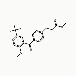 COC(=O)CCc1ccc(C(=O)c2cc(C(C)(C)C)ccc2OC)cc1